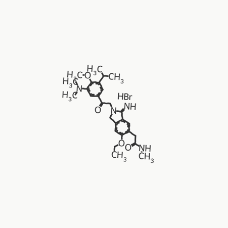 Br.CCOc1cc2c(cc1CC(=O)NC)C(=N)N(CC(=O)c1cc(C(C)C)c(OC)c(N(C)C)c1)C2